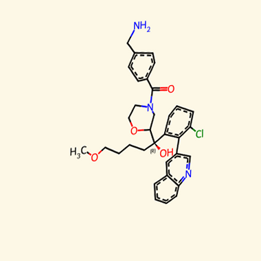 COCCCC[C@@](O)(c1cccc(Cl)c1-c1cnc2ccccc2c1)C1CN(C(=O)c2ccc(CN)cc2)CCO1